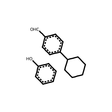 O=Cc1ccc(C2CCCCC2)cc1.Oc1ccccc1